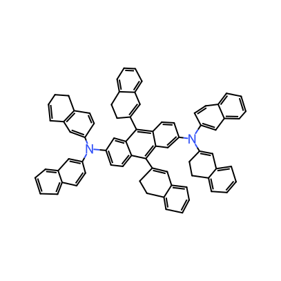 C1=Cc2cc(N(c3ccc4ccccc4c3)c3ccc4c(C5=Cc6ccccc6CC5)c5cc(N(C6=Cc7ccccc7CC6)c6ccc7ccccc7c6)ccc5c(C5=Cc6ccccc6CC5)c4c3)ccc2CC1